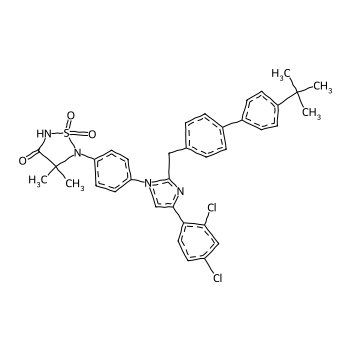 CC(C)(C)c1ccc(-c2ccc(Cc3nc(-c4ccc(Cl)cc4Cl)cn3-c3ccc(N4C(C)(C)C(=O)NS4(=O)=O)cc3)cc2)cc1